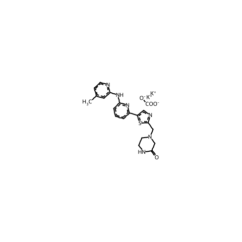 Cc1ccnc(Nc2cccc(-c3cnc(CN4CCNC(=O)C4)s3)n2)c1.O=C([O-])[O-].[K+].[K+]